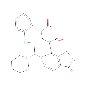 O=C1CCC(c2c(C(C(=O)Nc3ccccc3)N3CCCCC3)ccc3c2CNC3=O)C(=O)N1